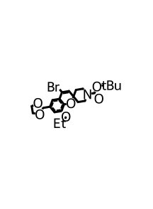 CCOc1cc(C2OCCO2)cc2c1OC1(C=C2Br)CCN(C(=O)OC(C)(C)C)CC1